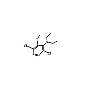 CCN(CC)c1c(Cl)ccc(Cl)c1OC